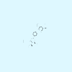 CCC(=O)C1=C(O)CC(c2ccc(Sc3ncc(C(F)(F)F)cc3F)cc2)CC1=O